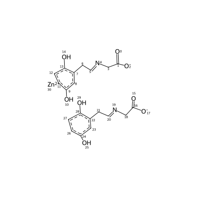 O=C([O-])CN=CCc1cc(O)ccc1O.O=C([O-])CN=CCc1cc(O)ccc1O.[Zn+2]